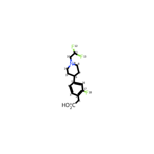 O=C(O)Cc1ccc(C2CCN(CC(F)F)CC2)cc1F